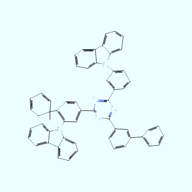 CC1(c2ccc(-c3nc(-c4cccc(-c5ccccc5)c4)nc(-c4cccc(-n5c6ccccc6c6ccccc65)c4)n3)cc2-n2c3ccccc3c3ccccc32)C=CC=CC1